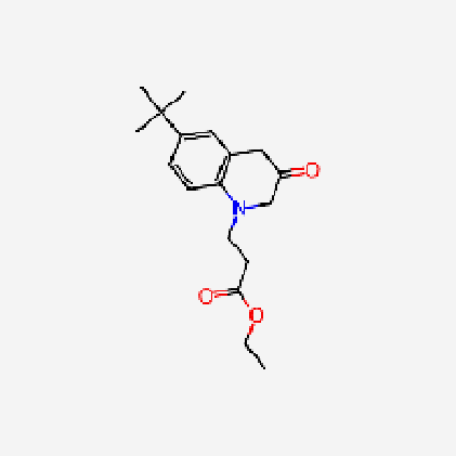 CCOC(=O)CCN1CC(=O)Cc2cc(C(C)(C)C)ccc21